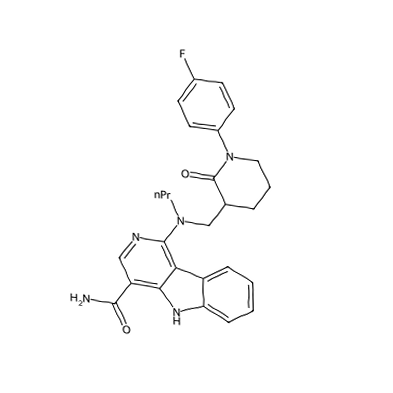 CCCN(CC1CCCN(c2ccc(F)cc2)C1=O)c1ncc(C(N)=O)c2[nH]c3ccccc3c12